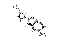 Cc1ccc(-c2nc3cc([N+](=O)[O-])ccc3o2)s1